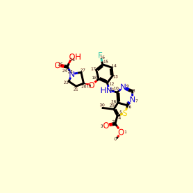 COC(=O)c1sc2ncnc(Nc3ccc(F)cc3O[C@H]3CCN(C(=O)O)C3)c2c1C